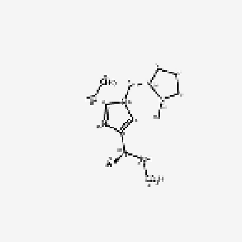 CC(C)[C@H](NC(=O)O)c1cn(C[C@@H]2CCCN2C)cn1.O=CO